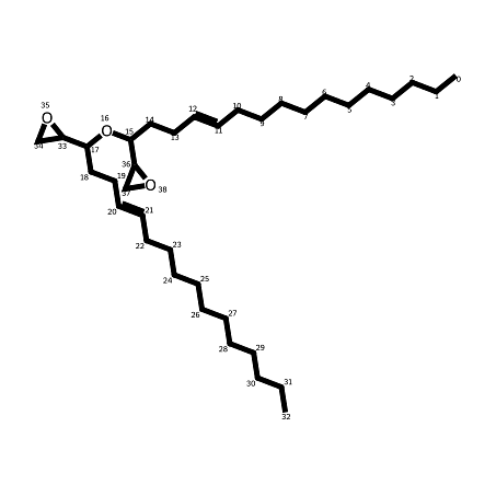 CCCCCCCCCCC/C=C/CCC(OC(CC/C=C/CCCCCCCCCCC)C1CO1)C1CO1